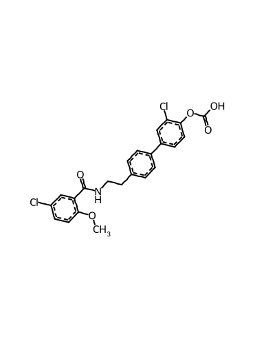 COc1ccc(Cl)cc1C(=O)NCCc1ccc(-c2ccc(OC(=O)O)c(Cl)c2)cc1